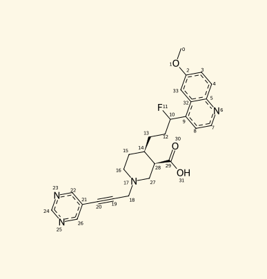 COc1ccc2nccc(C(F)CC[C@@H]3CCN(CC#Cc4cncnc4)C[C@@H]3C(=O)O)c2c1